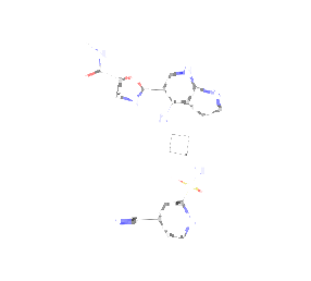 CNC(=O)c1cnc(-c2cnc3[nH]ccc3c2N[C@H]2C[C@@H](NS(=O)(=O)c3cc(C#N)ccn3)C2)o1